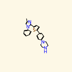 Cc1cn(-c2ccccc2)c(-c2ccc(-c3ccc(N4CCNCC4)cc3)s2)n1